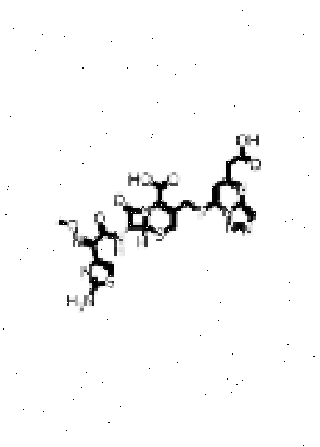 CO/N=C(\C(=O)N[C@@H]1C(=O)N2C(C(=O)O)=C(CSc3cc(CC(=O)O)nc4cnnn34)CS[C@H]12)c1csc(N)n1